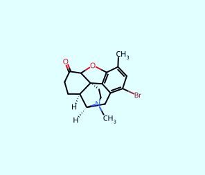 Cc1cc(Br)c2c3c1OC1C(=O)CC[C@@H]4[C@H](C2)N(C)CC[C@@]314